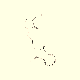 CC1CCN(CCCN2C(=O)c3ccccc3C2=O)C1=O